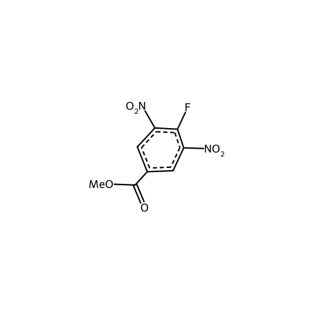 COC(=O)c1cc([N+](=O)[O-])c(F)c([N+](=O)[O-])c1